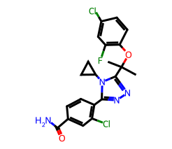 CC(C)(Oc1ccc(Cl)cc1F)c1nnc(-c2ccc(C(N)=O)cc2Cl)n1C1CC1